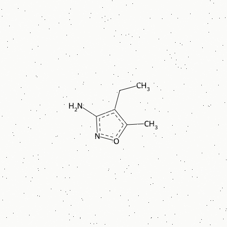 CCc1c(N)noc1C